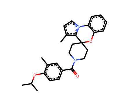 Cc1cc(C(=O)N2CCC3(CC2)Oc2ccccc2-n2ccc(C)c23)ccc1OC(C)C